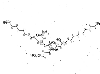 CC(C)CCCCCCCCCCC[C@H](O)CC(=O)N[C@@H](CCCC(=O)O)C(=O)O[C@@H](CCCCCCCCCCC(C)C)CC(N)=O